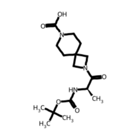 C[C@@H](NC(=O)OC(C)(C)C)C(=O)N1CC2(CCN(C(=O)O)CC2)C1